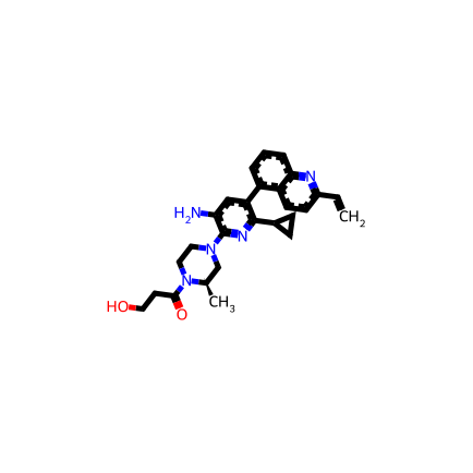 C=Cc1ccc2c(-c3cc(N)c(N4CCN(C(=O)CCO)[C@H](C)C4)nc3C3CC3)cccc2n1